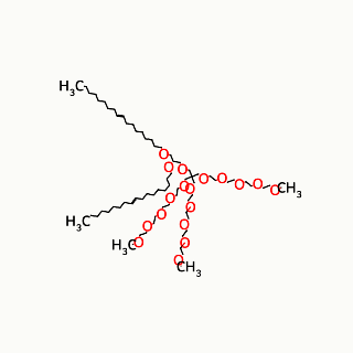 CCCCCCCCC=CCCCCCCCCOCC(COCC(COCCOCCOCCOCCOC)(COCCOCCOCCOCCOC)COCCOCCOCCOCCOC)OCCCCCCCCC=CCCCCCCCC